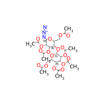 CC(=O)OCC1O[C@@H](O[C@@H]2C(COC(C)=O)O[C@@H](N=[N+]=[N-])C(OC(C)=O)C2OC(C)=O)C(OC(C)=O)C(OC(C)=O)[C@@H]1OC(C)=O